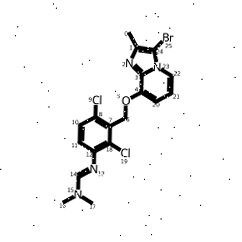 Cc1nc2c(OCc3c(Cl)ccc(/N=C/N(C)C)c3Cl)cccn2c1Br